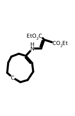 CCOC(=O)C(=CNC1=CCCCCCCCC1)C(=O)OCC